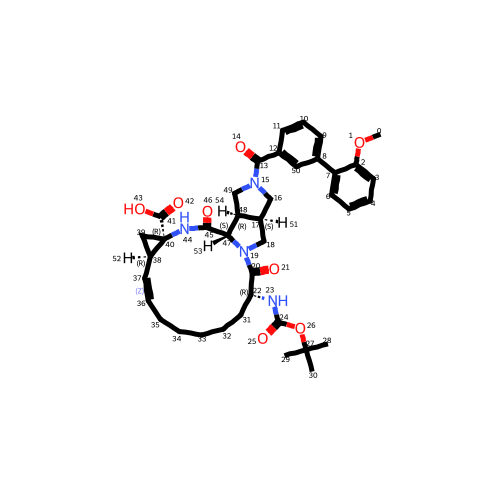 COc1ccccc1-c1cccc(C(=O)N2C[C@H]3CN4C(=O)[C@H](NC(=O)OC(C)(C)C)CCCCC/C=C\[C@H]5C[C@@]5(C(=O)O)NC(=O)[C@@H]4[C@H]3C2)c1